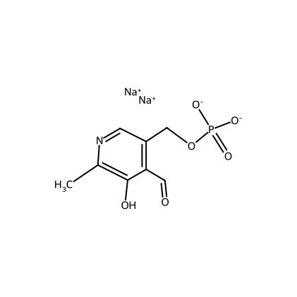 Cc1ncc(COP(=O)([O-])[O-])c(C=O)c1O.[Na+].[Na+]